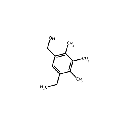 CCc1cc(CO)c(C)c(C)c1C